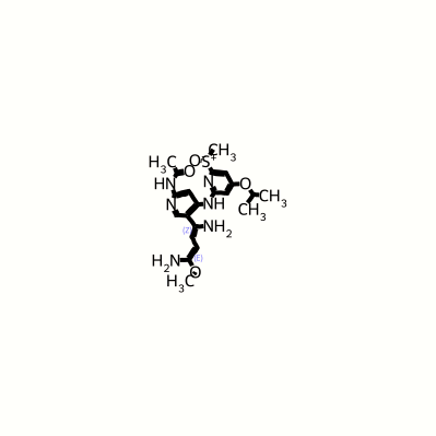 CO/C(N)=C/C=C(\N)c1cnc(NC(C)=O)cc1Nc1cc(OC(C)C)cc([S+](C)[O-])n1